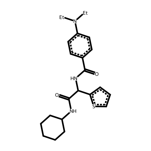 CCN(CC)c1ccc(C(=O)NC(C(=O)NC2CCCCC2)c2cccs2)cc1